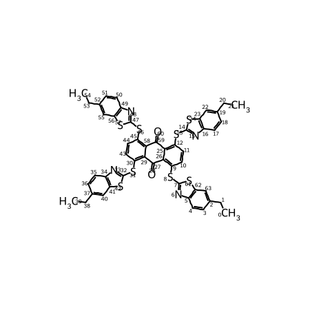 CCc1ccc2nc(Sc3ccc(Sc4nc5ccc(CC)cc5s4)c4c3C(=O)c3c(Sc5nc6ccc(CC)cc6s5)ccc(Sc5nc6ccc(CC)cc6s5)c3C4=O)sc2c1